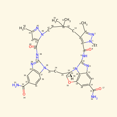 CCn1nc(C)c2c1C(=O)Nc1nc3cc(C(N)=O)cc4c3n1[C@@H](CCCn1c(nc3cc(C(N)=O)ccc31)NC(=O)c1cc(C)nn1CCC(C)(C)CC2)CO4